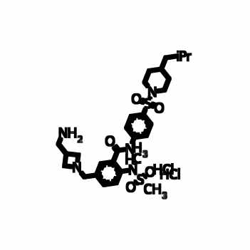 CC(C)CC1CCN(S(=O)(=O)c2ccc(NC(=O)c3cc(CN4CC(CN)C4)ccc3N(C)S(C)(=O)=O)cc2)CC1.Cl.Cl